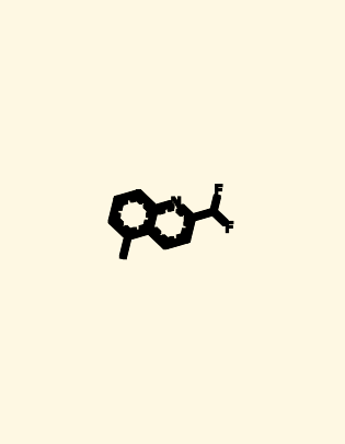 Cc1cccc2nc(C(F)F)ccc12